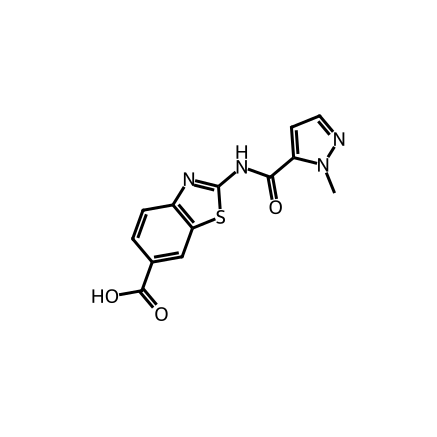 Cn1nccc1C(=O)Nc1nc2ccc(C(=O)O)cc2s1